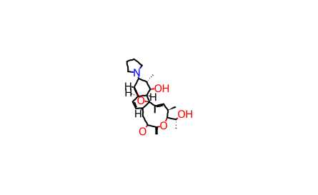 C=C1O[C@H]([C@@H](C)O)[C@H](C)/C=C(\C)[C@]23O[C@@H]4[C@H](C=C[C@@H]2C[C@@H]1OC)[C@H]3[C@H](O)[C@@H](C)[C@@H]4N1CCCC1